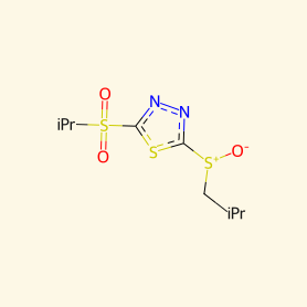 CC(C)C[S+]([O-])c1nnc(S(=O)(=O)C(C)C)s1